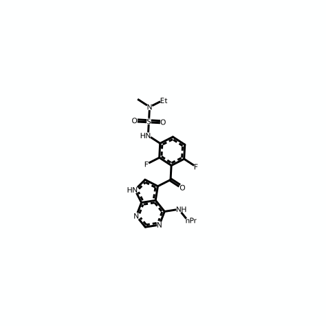 CCCNc1ncnc2[nH]cc(C(=O)c3c(F)ccc(NS(=O)(=O)N(C)CC)c3F)c12